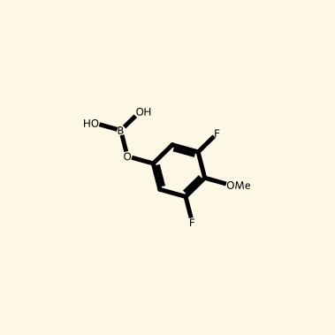 COc1c(F)cc(OB(O)O)cc1F